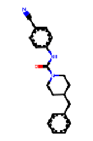 N#Cc1ccc(NC(=O)N2CCC(Cc3ccccc3)CC2)cc1